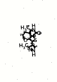 Cc1n[nH]cc1-c1sc2c(=O)[nH]c(C)c3c2c1OCCC3